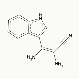 N#C/C(N)=C(/N)c1c[nH]c2ccccc12